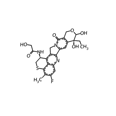 CC[C@]1(O)c2cc3n(c(=O)c2COC1O)Cc1c-3nc2cc(F)c(C)c3c2c1[C@H](NC(=O)CO)CS3